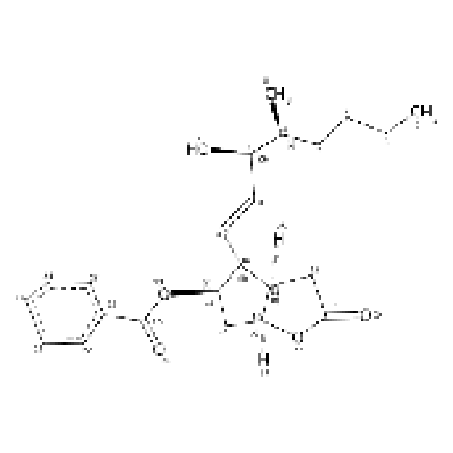 CCCC[C@H](C)[C@H](O)C=C[C@@H]1[C@H]2CC(=O)O[C@H]2C[C@H]1OC(=O)c1ccccc1